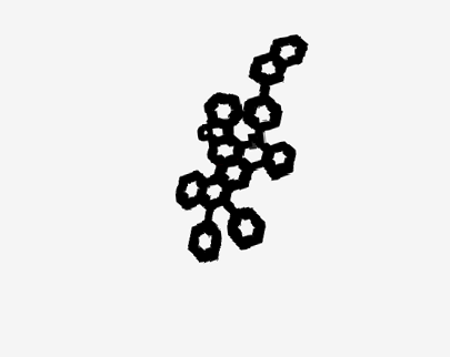 c1ccc(-c2c(-c3ccccc3)c3cc(-c4ccccc4N(c4ccc(-c5ccc6ccccc6c5)cc4)c4cccc5oc6ccccc6c45)ccc3c3ccccc23)cc1